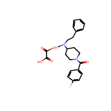 CN(CCc1ccccc1)C1CCN(C(=O)c2ccc(F)cc2)CC1.O=C(O)C(=O)O